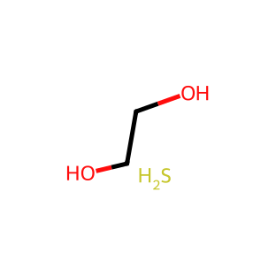 OCCO.S